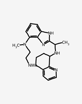 CNCCN(C)c1cccc2[nH]c(C(C)NC3CCCc4cccnc43)nc12